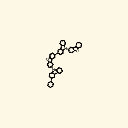 c1ccc(-c2ccc3c(c2)c2ccccc2n3-c2ccc3oc4ccc(-c5ccc6c(c5)c5ccccc5n6-c5ccc6oc7ccccc7c6c5)cc4c3c2)cc1